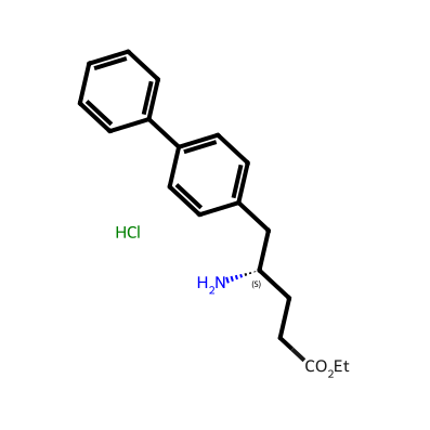 CCOC(=O)CC[C@H](N)Cc1ccc(-c2ccccc2)cc1.Cl